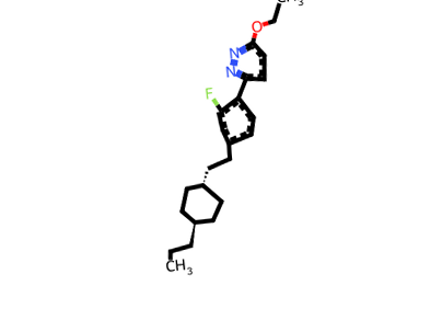 CCC[C@H]1CC[C@H](CCc2ccc(-c3ccc(OCC)nn3)c(F)c2)CC1